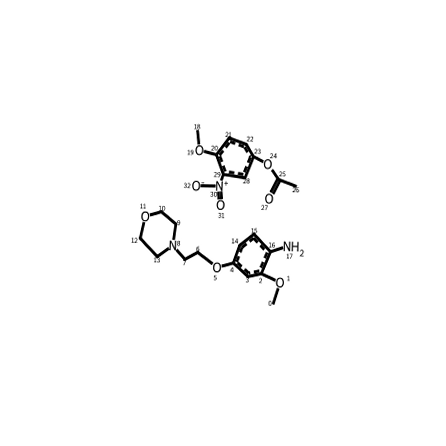 COc1cc(OCCN2CCOCC2)ccc1N.COc1ccc(OC(C)=O)cc1[N+](=O)[O-]